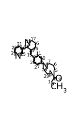 CCC(=O)N1CCCN(c2ccc(C=C3CCCN=C3c3cccnc3)cc2)CC1